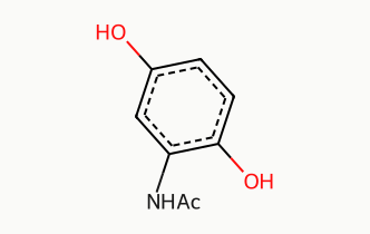 CC(=O)Nc1cc(O)ccc1O